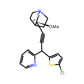 CO[C@]1(C#CC(c2ccccn2)c2ccc(Cl)s2)CN2CCC1CC2